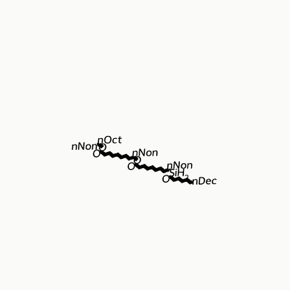 CCCCCCCCCCCCCCCC(=O)[SiH2]C(CCCCCCCCC)CCCCCCCC(=O)OC(CCCCCCCCC)CCCCCCCC(=O)OC(CCCCCCCC)CCCCCCCCC